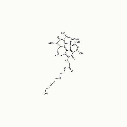 COc1c2c3c4c(c(NCC(=O)OCCOCCOCCO)c(=O)c5c(O)cc(OC)c(c6c(OC)cc(O)c(c1=O)c63)c54)CC(C)=C2